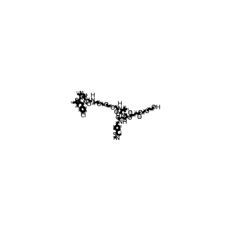 Cc1ncsc1-c1ccc(CNC(=O)[C@@H]2C[C@@H](OC(=O)CCC(=O)OCCOCCO)CN2C(=O)[C@@H](NC(=O)COCCOCCOCCNC(=O)C[C@@H]2N=C(c3ccc(Cl)cc3)c3c(sc(C)c3C)-n3c(C)nnc32)C(C)(C)C)cc1